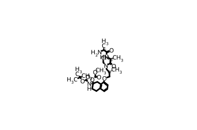 CCN(C[C@H](C)COc1cccc2c1C[C@](NC(=O)OC(C)(C)C)(OC(=O)OC)CC2)C(=O)[C@H](C)NC(=O)[C@H](C)N